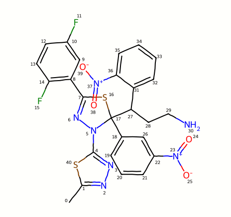 Cc1nnc(N2N=C(c3cc(F)ccc3F)SC2(c2cccc([N+](=O)[O-])c2)C(CCN)c2ccccc2[N+](=O)[O-])s1